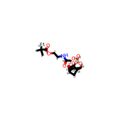 CCC(C)(C)C(=O)OCCNC(=O)COC1(C)C2CC3C1OS(=O)(=O)C3C2